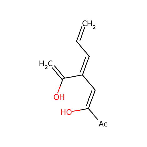 C=C/C=C(/C=C(\O)C(C)=O)C(=C)O